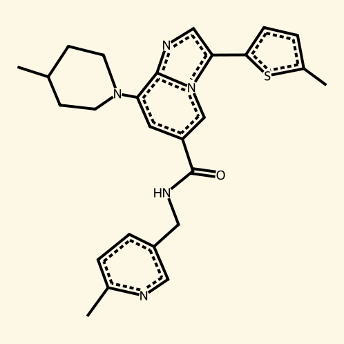 Cc1ccc(CNC(=O)c2cc(N3CCC(C)CC3)c3ncc(-c4ccc(C)s4)n3c2)cn1